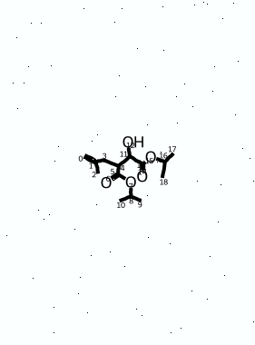 C=C(C)CC(C(=O)OC(C)C)C(O)C(=O)OC(C)C